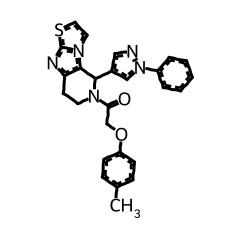 Cc1ccc(OCC(=O)N2CCc3nc4sccn4c3C2c2cnn(-c3ccccc3)c2)cc1